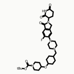 CC(C)(C)OC(=O)N1CCC(OC2CCC(CN3CCN(c4cc5c(cc4F)C(=O)N(C4CCC(=O)NC4=O)C5)CC3)CC2)CC1